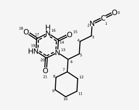 O=C=NCCCC(C1CCCCC1)n1c(=O)[nH]c(=O)[nH]c1=O